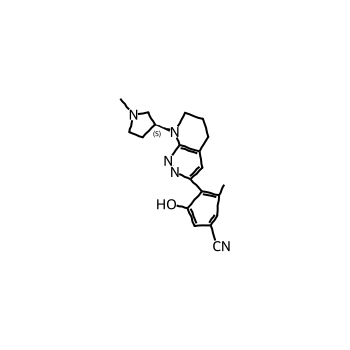 Cc1cc(C#N)cc(O)c1-c1cc2c(nn1)N([C@H]1CCN(C)C1)CCC2